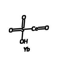 [O]=[Ce][S](=O)(=O)O.[Yb]